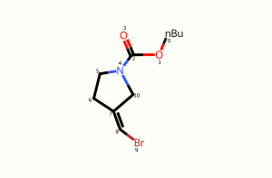 CCCCOC(=O)N1CC/C(=C/Br)C1